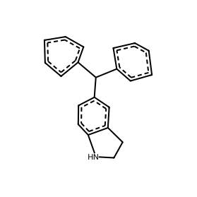 c1ccc(C(c2ccccc2)c2ccc3c(c2)CCN3)cc1